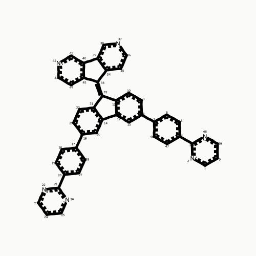 c1cnc(-c2ccc(-c3ccc4c(c3)-c3cc(-c5ccc(-c6ncccn6)cc5)ccc3C4=C3c4ccncc4-c4cnccc43)cc2)nc1